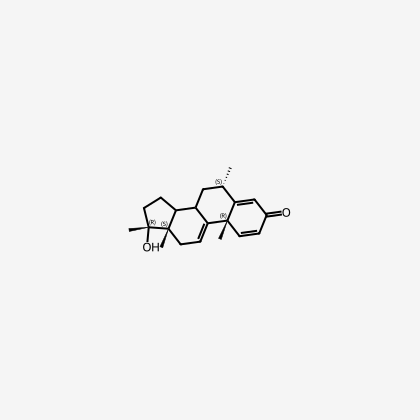 C[C@H]1CC2C(=CC[C@@]3(C)C2CC[C@@]3(C)O)[C@@]2(C)C=CC(=O)C=C12